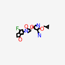 N#Cc1cc(O[C@@H]2CCN(c3cc(F)c4c(c3)C(=O)CC4)C2=O)cnc1OCC1CC1